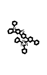 c1ccc(-c2ccc(-c3ccc4c(c3)sc3cc5c(cc34)c3ccccc3n5-c3ccccc3)c(-c3nc(-c4ccccc4)nc(-c4ccccc4)n3)c2)cc1